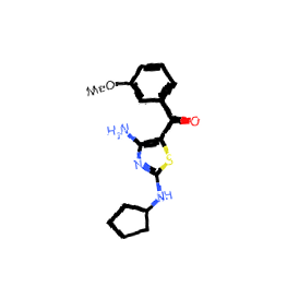 COc1cccc(C(=O)c2sc(NC3CCCC3)nc2N)c1